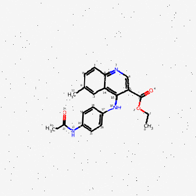 CCOC(=O)c1cnc2ccc(C)cc2c1Nc1ccc(NC(C)=O)cc1